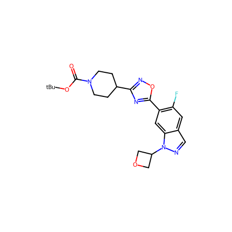 CC(C)(C)OC(=O)N1CCC(c2noc(-c3cc4c(cnn4C4COC4)cc3F)n2)CC1